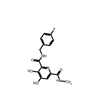 CNC(=O)c1cc(O)c(O)c(C(=O)NCc2ccc(F)cc2)n1